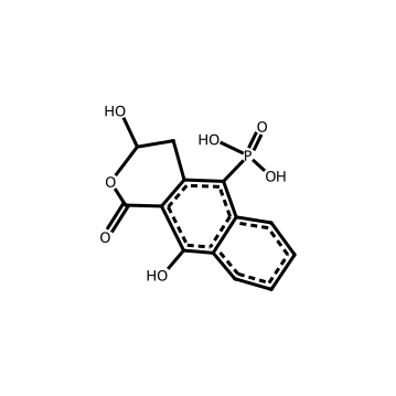 O=C1OC(O)Cc2c1c(O)c1ccccc1c2P(=O)(O)O